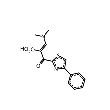 CN(C)C=C(C(=O)O)C(=O)c1nc(-c2ccccc2)cs1